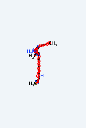 CCCCc1nc2c(N)nc3cc(C4CCN(CCOCCOCCOCCOCCOC)CC4)sc3c2n1CC1CCN(CCOCCOCCOCCOCCOCCOCCOCCOCCNC(=O)CCCC#Cc2cnc(SC)nc2)CC1